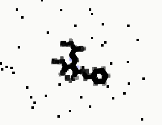 COC(=O)/C=C/C(C(=O)OC)=C(/C)NCc1ccccc1